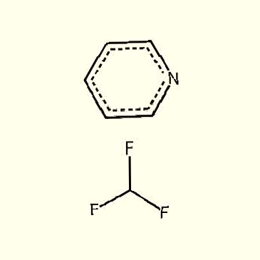 FC(F)F.c1ccncc1